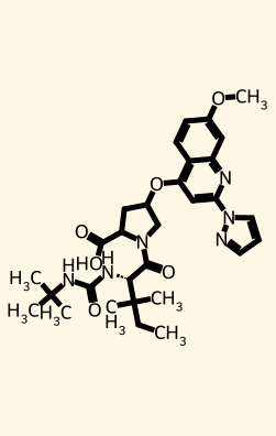 CCC(C)(C)[C@H](NC(=O)NC(C)(C)C)C(=O)N1CC(Oc2cc(-n3cccn3)nc3cc(OC)ccc23)CC1C(=O)O